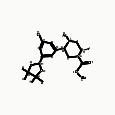 CC(=O)N1C[C@H](C)N(C(=O)OC(C)(C)C)C[C@H]1c1cc(Cl)cc(B2OC(C)(C)C(C)(C)O2)c1